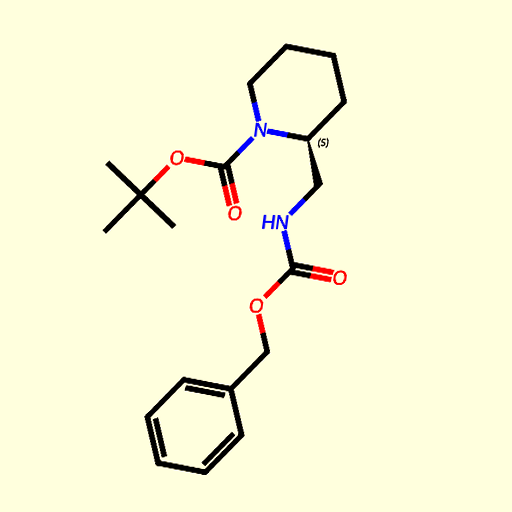 CC(C)(C)OC(=O)N1CCCC[C@H]1CNC(=O)OCc1ccccc1